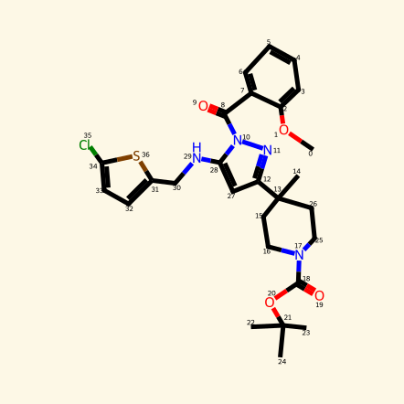 COc1ccccc1C(=O)n1nc(C2(C)CCN(C(=O)OC(C)(C)C)CC2)cc1NCc1ccc(Cl)s1